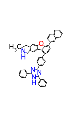 CC1Cc2cc3oc4c(-c5ccc6ccccc6c5)ccc(-c5ccc(C6=NC(c7ccccc7)NC(c7ccccc7)=N6)cc5)c4c3cc2CN1